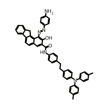 Cc1ccc(N(c2ccc(C)cc2)c2ccc(CCc3ccc(NC(=O)c4cc5ccc6c(c5c(N=Nc5ccc(N)cc5)c4O)Cc4ccccc4-6)cc3)cc2)cc1